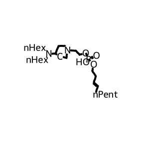 CCCCCC=CCCOP(=O)(O)OCCN1CCC(N(CCCCCC)CCCCCC)CC1